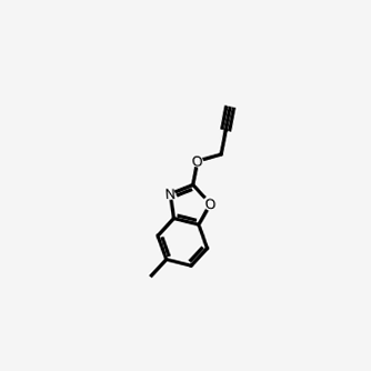 C#CCOc1nc2cc(C)ccc2o1